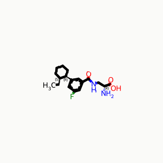 CC[C@H]1CCCC[C@H]1c1cc(F)cc(C(=O)NC[C@@H](N)C(=O)O)c1